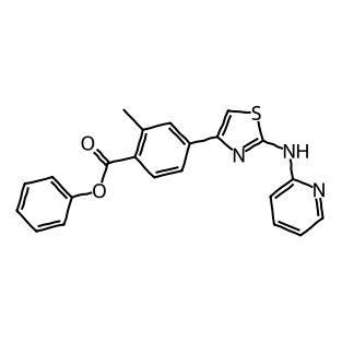 Cc1cc(-c2csc(Nc3ccccn3)n2)ccc1C(=O)Oc1ccccc1